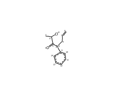 C=CCN(C(=O)C(C)Cl)c1ccccc1